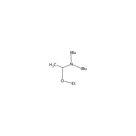 CCOC(C)N(C(C)(C)C)C(C)(C)C